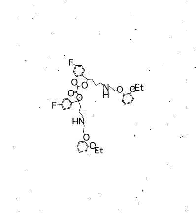 CCOc1ccccc1OCCNCCCC(OC(=O)C(=O)OC(CCCNCCOc1ccccc1OCC)c1ccc(F)cc1)c1ccc(F)cc1